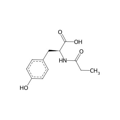 CCC(=O)N[C@@H](Cc1ccc(O)cc1)C(=O)O